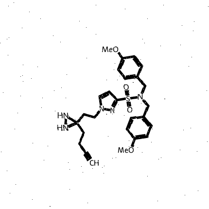 C#CCCC1(CCn2ccc(S(=O)(=O)N(Cc3ccc(OC)cc3)Cc3ccc(OC)cc3)n2)NN1